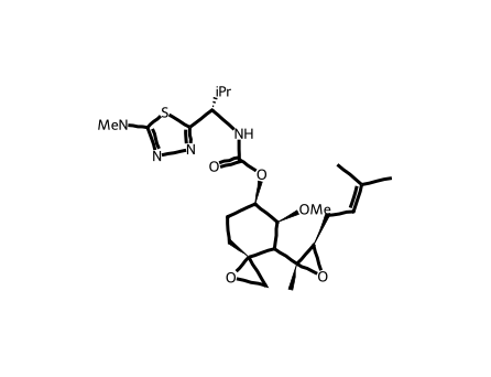 CNc1nnc([C@@H](NC(=O)O[C@@H]2CC[C@]3(CO3)C([C@@]3(C)O[C@@H]3CC=C(C)C)[C@@H]2OC)C(C)C)s1